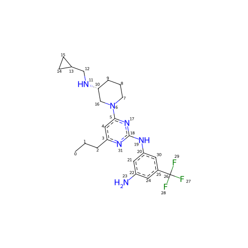 CCCc1cc(N2CCC[C@@H](NCC3CC3)C2)nc(Nc2cc(N)cc(C(F)(F)F)c2)n1